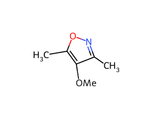 COc1c(C)noc1C